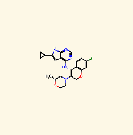 C[C@H]1CN([C@@H]2COc3cc(F)ccc3[C@H]2Nc2ncnc3[nH]c(C4CC4)cc23)CCO1